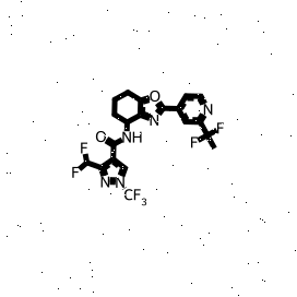 CC(F)(F)c1cc(-c2nc3c(o2)CCCC3NC(=O)c2cn(C(F)(F)F)nc2C(F)F)ccn1